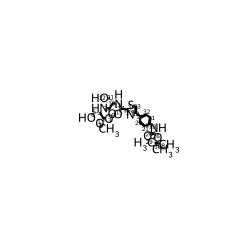 COC(=O)[C@H](CO)NC(=O)[C@H](CO)NC(=O)c1nc(-c2ccc(NC(=O)OC(C)(C)C)cc2)cs1